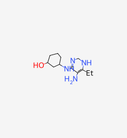 CCC1=C(N)C(NC2CCCC(O)C2)=NCN1